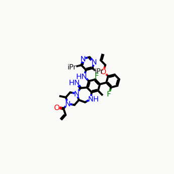 C=CCOc1cccc(F)c1-c1c(C)c2c(c(Nc3c(C(C)C)ncnc3C(C)C)c1F)C(=N)N1CC(C)N(C(=O)C=C)CC1CN2